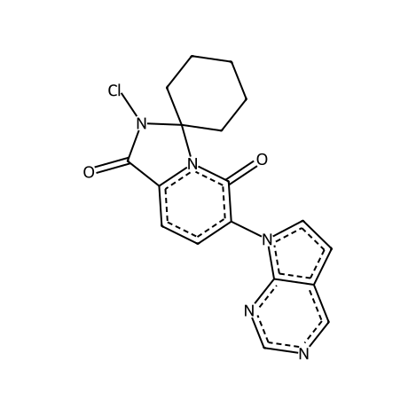 O=C1c2ccc(-n3ccc4cncnc43)c(=O)n2C2(CCCCC2)N1Cl